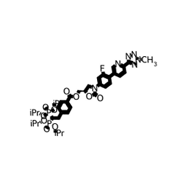 CC(C)OP(=O)(OC(C)C)C(Cc1ccc(C(=O)OC[C@H]2CN(c3ccc(-c4ccc(-c5nnn(C)n5)nc4)c(F)c3)C(=O)O2)cc1)P(=O)(OC(C)C)OC(C)C